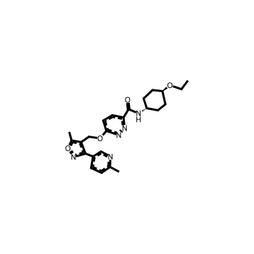 CCO[C@H]1CC[C@H](NC(=O)c2ccc(OCc3c(-c4ccc(C)nc4)noc3C)nn2)CC1